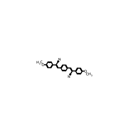 COc1ccc(C(C#N)=Cc2ccc(C=C(C#N)c3ccc(OC)cc3)cc2)cc1